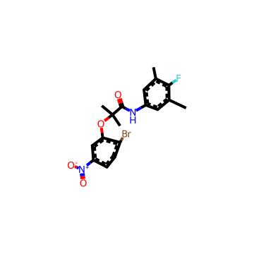 Cc1cc(NC(=O)C(C)(C)Oc2cc([N+](=O)[O-])ccc2Br)cc(C)c1F